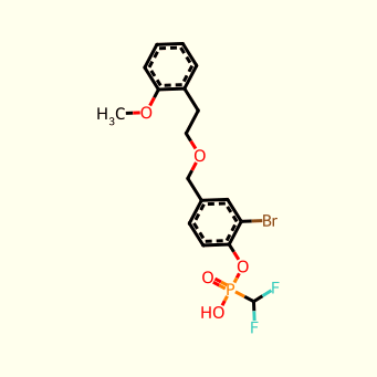 COc1ccccc1CCOCc1ccc(OP(=O)(O)C(F)F)c(Br)c1